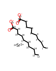 CCCCCCCCCC(=O)[O-].CCCCCCCCCC(=O)[O-].[Sr+2]